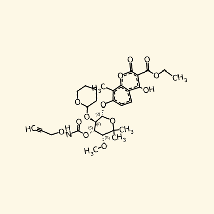 C#CCONC(=O)O[C@@H]1[C@@H](OC2CCCCO2)[C@H](Oc2ccc3c(O)c(C(=O)OCC)c(=O)oc3c2C)OC(C)(C)[C@@H]1OC